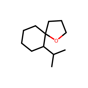 CC(C)C1CCCCC12CCCO2